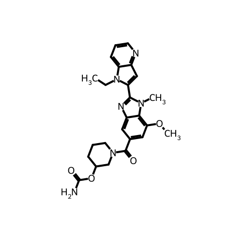 CCn1c(-c2nc3cc(C(=O)N4CCCC(OC(N)=O)C4)cc(OC)c3n2C)cc2ncccc21